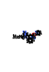 CNC(C)c1cncc(-c2cc(OCc3ccccn3)nc3c2CCCC3)n1